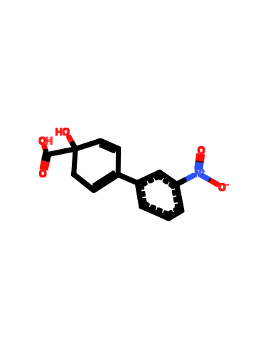 O=C(O)C1(O)C=CC(c2cccc([N+](=O)[O-])c2)=CC1